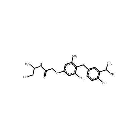 Cc1cc(OCC(=O)NC(C)CO)cc(C)c1Cc1ccc(O)c(C(C)C)c1